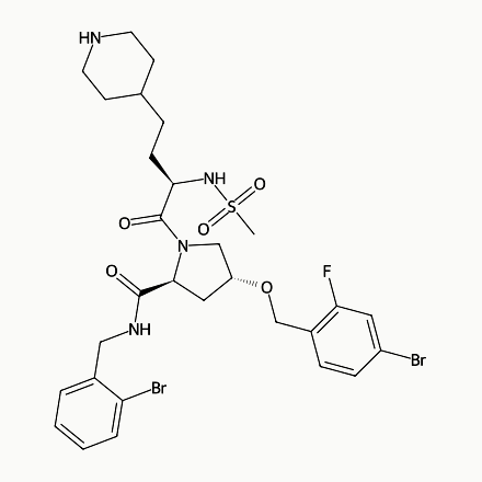 CS(=O)(=O)N[C@H](CCC1CCNCC1)C(=O)N1C[C@H](OCc2ccc(Br)cc2F)C[C@H]1C(=O)NCc1ccccc1Br